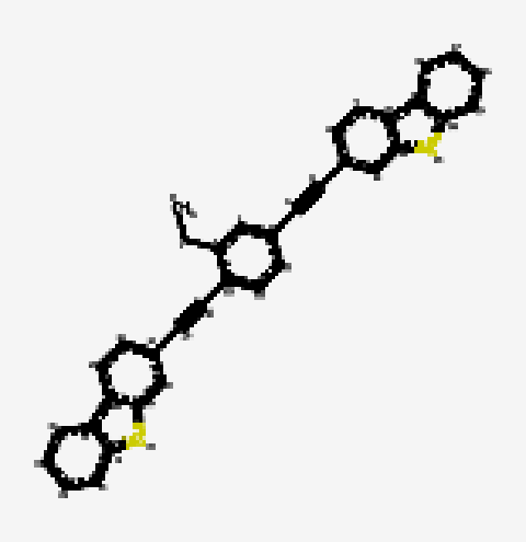 CCc1cc(C#Cc2ccc3c(c2)sc2ccccc23)ccc1C#Cc1ccc2c(c1)sc1ccccc12